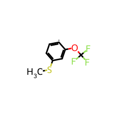 CSc1cc[c]c(OC(F)(F)F)c1